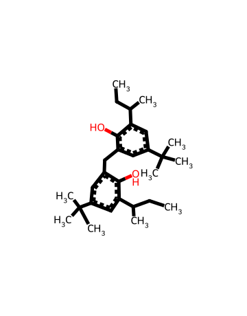 CCC(C)c1cc(C(C)(C)C)cc(Cc2cc(C(C)(C)C)cc(C(C)CC)c2O)c1O